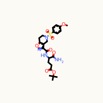 COc1ccc(S(=O)(=O)N2CCc3onc(C(=O)NC(CCC(=O)OC(C)(C)C)C(N)=O)c3C2)cc1